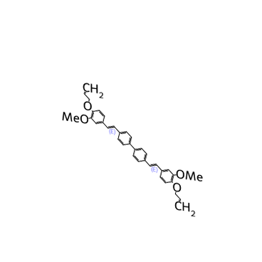 C=CCOc1ccc(/C=C/c2ccc(-c3ccc(/C=C/c4ccc(OCC=C)c(OC)c4)cc3)cc2)cc1OC